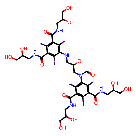 O=CN(CC(O)CNc1c(I)c(C(=O)NCC(O)CO)c(I)c(C(=O)NCC(O)CO)c1I)c1c(I)c(C(=O)NCC(O)CO)c(I)c(C(=O)NCC(O)CO)c1I